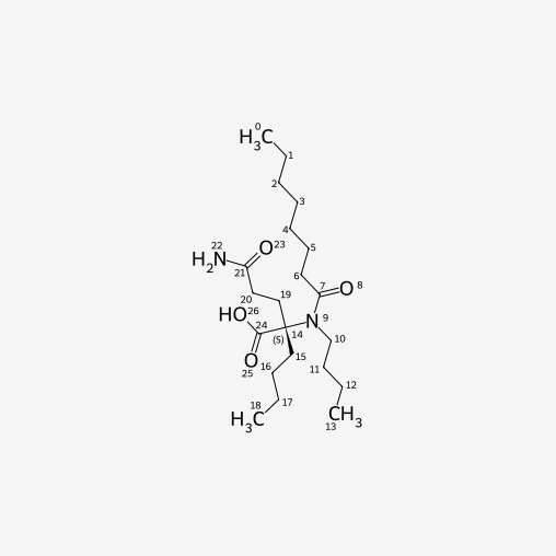 CCCCCCCC(=O)N(CCCC)[C@@](CCCC)(CCC(N)=O)C(=O)O